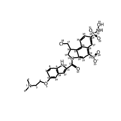 CN(C)CCOc1ccc2[nH]c(C(=O)N3CC(CCl)c4c3cc([N+](=O)[O-])c3cc(S(=O)(=O)NO)ccc43)cc2c1